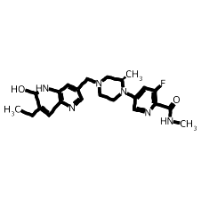 CCC1=Cc2ncc(CN3CCN(c4cnc(C(=O)NC)c(F)c4)[C@H](C)C3)cc2NC1O